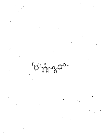 CCOc1ccc(C(=O)OCCNC(=S)NC2CCc3c(F)cccc32)cc1